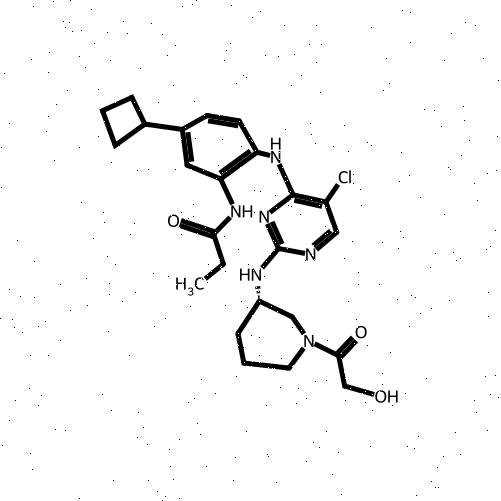 CCC(=O)Nc1cc(C2CCC2)ccc1Nc1nc(N[C@H]2CCCN(C(=O)CO)C2)ncc1Cl